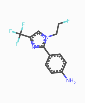 Nc1ccc(-c2nc(C(F)(F)F)cn2CCF)cc1